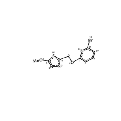 COc1nnc(COc2cccc(Br)n2)s1